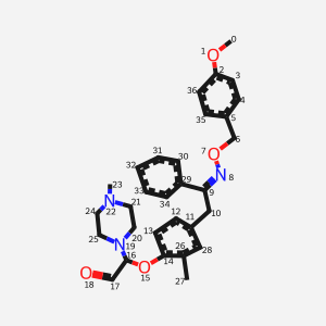 COc1ccc(CON=C(Cc2ccc(OC(C=O)N3CCN(C)CC3)c(C)c2)c2ccccc2)cc1